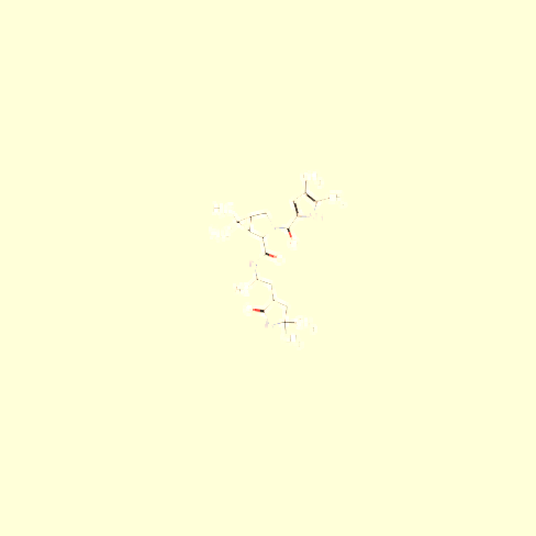 Cc1cc(C(=O)N2CC3C(C2C(=O)NC(C#N)CC2CC(C)(C)NC2=O)C3(C)C)[nH]c1C(F)(F)F